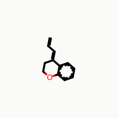 C=CC=C1CCOc2ccccc21